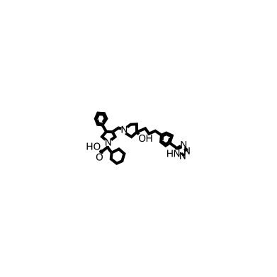 O=C(O)C(C1CCCCC1)N1CC(CN2CCC(O)(CCCc3ccc(-c4nnn[nH]4)cc3)CC2)C(c2ccccc2)C1